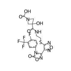 O=C(O)N1CC(O)(C(=O)NCCSc2nonc2-c2noc(=O)n2-c2ccc(F)c(C(F)(F)F)c2)C1